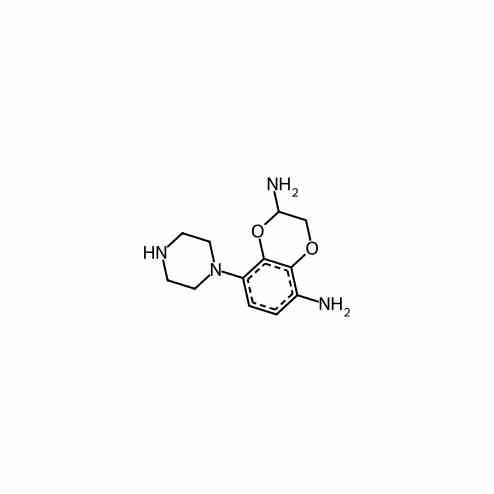 Nc1ccc(N2CCNCC2)c2c1OCC(N)O2